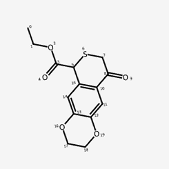 CCOC(=O)C1SCC(=O)c2cc3c(cc21)OCCO3